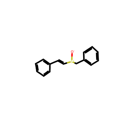 [O-][S+](C=Cc1ccccc1)Cc1ccccc1